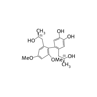 COc1cc(C[C@H](C)O)c(-c2cc(O)c(O)cc2C[C@H](C)O)c(OC)c1